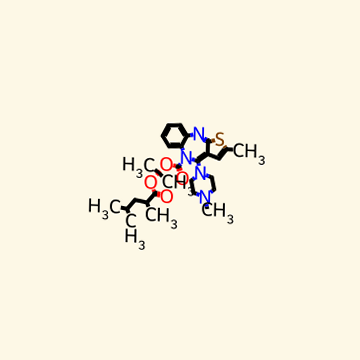 Cc1cc2c(s1)=Nc1ccccc1N(C(=O)OC(C)(C)OC(=O)C(C)CC(C)C)C=2N1CCN(C)CC1